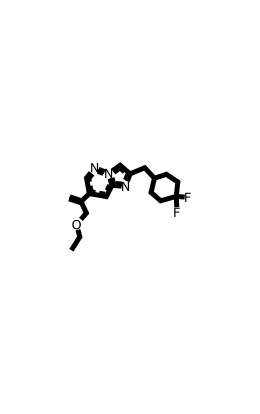 C=C(COCC)c1cnn2cc(CC3CCC(F)(F)CC3)nc2c1